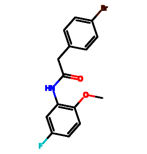 COc1ccc(F)cc1NC(=O)Cc1ccc(Br)cc1